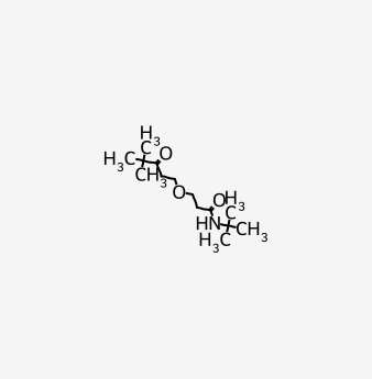 CC(C)(C)NC(=O)CCOCCC(=O)C(C)(C)C